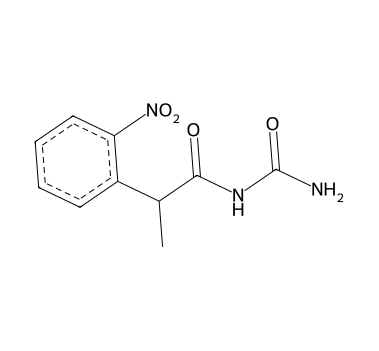 CC(C(=O)NC(N)=O)c1ccccc1[N+](=O)[O-]